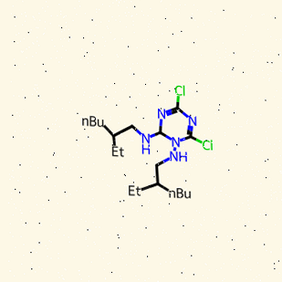 CCCCC(CC)CNC1N=C(Cl)N=C(Cl)N1NCC(CC)CCCC